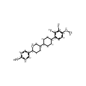 CCCc1ncc(C2CCC(C3CCC(c4ccc(OCC)c(F)c4F)CC3)CO2)cn1